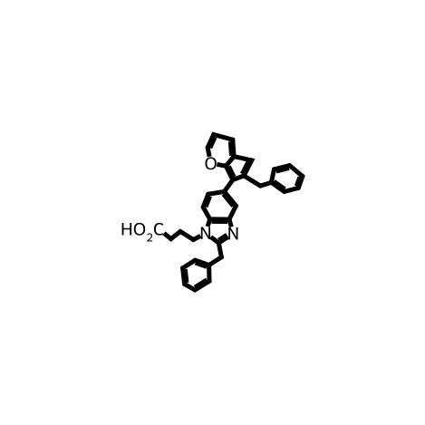 O=C(O)CCCn1c(Cc2ccccc2)nc2cc(-c3c(Cc4ccccc4)cc4cccoc3-4)ccc21